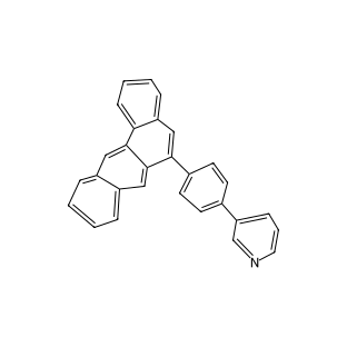 c1cncc(-c2ccc(-c3cc4ccccc4c4cc5ccccc5cc34)cc2)c1